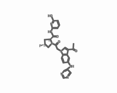 CC(=O)c1cn(CC(=O)N2C[C@H](F)C[C@H]2C(=O)Nc2cccc(O)n2)c2ccc(Nc3cncnc3)cc12